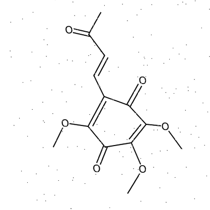 COC1=C(C=CC(C)=O)C(=O)C(OC)=C(OC)C1=O